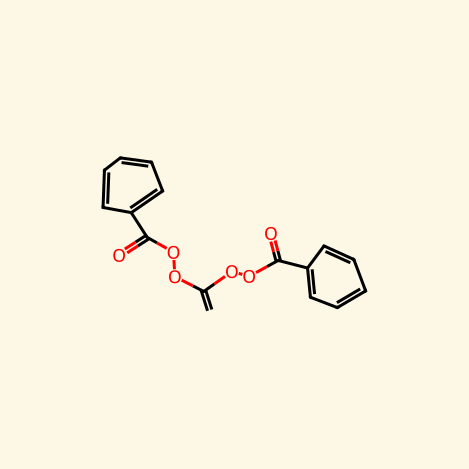 C=C(OOC(=O)c1ccccc1)OOC(=O)c1ccccc1